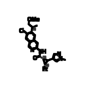 CC[C@H]1C(c2cnn(C)c2)[C@H]1C(=O)Nc1cc2cc([C@H](C)COC)c(Cl)cc2cn1